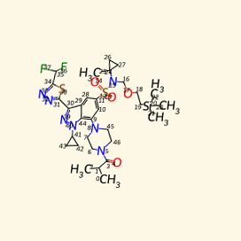 CC(C)C(=O)N1CCN(c2cc(S(=O)(=O)N(COCC[Si](C)(C)C)C3(C)CC3)cc3c(-c4nnc(C(F)F)s4)nn(C4CC4)c23)CC1